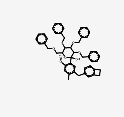 Cc1cc(OC(F)(F)F)c(C2(O)OC(COCc3ccccc3)C(OCc3ccccc3)C(OCc3ccccc3)C2OCc2ccccc2)cc1Cc1ccc2c(c1)CC2